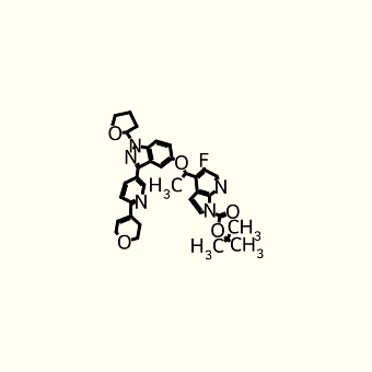 CC(Oc1ccc2c(c1)c(-c1ccc(C3=CCOCC3)nc1)nn2C1CCCCO1)c1c(F)cnc2c1ccn2C(=O)OC(C)(C)C